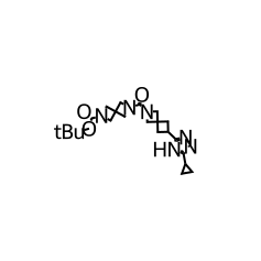 CC(C)(C)OC(=O)N1CC2(C1)CN(C(=O)N1CC3(CC(c4nnc(C5CC5)[nH]4)C3)C1)C2